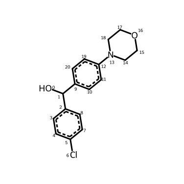 OC(c1ccc(Cl)cc1)c1ccc(N2CCOCC2)cc1